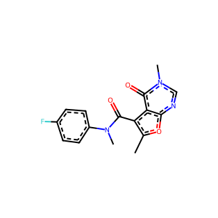 Cc1oc2ncn(C)c(=O)c2c1C(=O)N(C)c1ccc(F)cc1